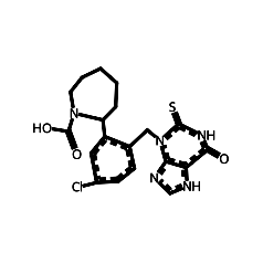 O=C(O)N1CCCCCC1c1cc(Cl)ccc1Cn1c(=S)[nH]c(=O)c2[nH]cnc21